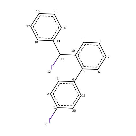 Ic1ccc(-c2ccccc2C(I)c2ccccc2)cc1